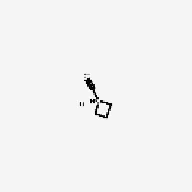 [C-]#C[SiH]1CCC1.[Li+]